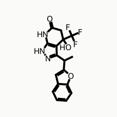 CC(c1cc2ccccc2o1)c1n[nH]c2c1C(O)(C(F)(F)F)CC(=O)N2